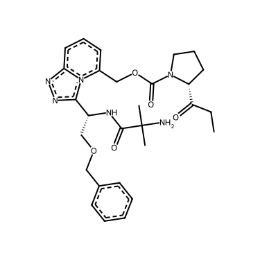 CCC(=O)[C@H]1CCCN1C(=O)OCc1cccc2nnc([C@@H](COCc3ccccc3)NC(=O)C(C)(C)N)n12